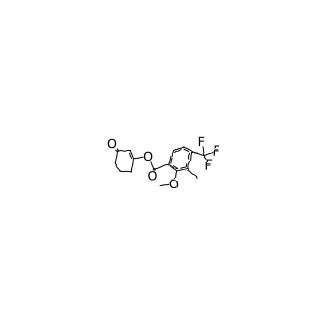 COc1c(C(=O)OC2=CC(=O)CCC2)ccc(C(F)(F)F)c1C